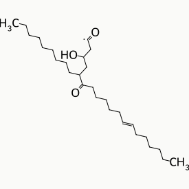 CCCCCCC=CCCCCCC(=O)C(CCCCCCCCC)CC(O)C[C]=O